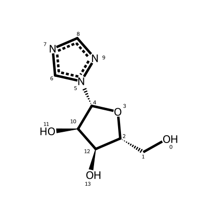 OC[C@H]1O[C@@H](n2cncn2)[C@H](O)[C@@H]1O